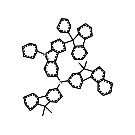 CC1(C)c2ccccc2-c2cc(N(c3ccc4c(c3)C(C)(C)c3ccc5ccccc5c3-4)c3ccc4c(c3)c3cc(C5(c6ccccc6)c6ccccc6-c6ccccc65)ccc3n4-c3ccccc3)ccc21